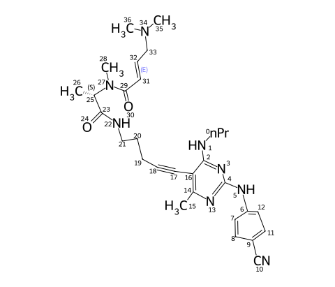 CCCNc1nc(Nc2ccc(C#N)cc2)nc(C)c1C#CCCCNC(=O)[C@H](C)N(C)C(=O)/C=C/CN(C)C